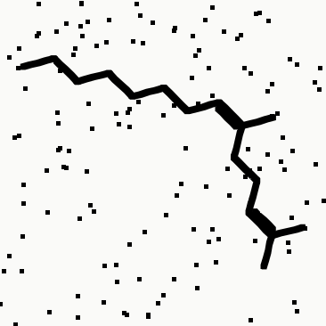 CCCCCCCC=C(C)CCC=C(C)C